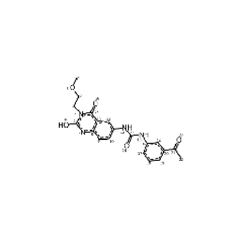 COCCn1c(O)nc2ccc(NC(=O)Nc3cccc(C(C)=O)c3)cc2c1=O